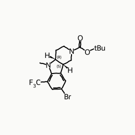 CN1c2c(cc(Br)cc2C(F)(F)F)[C@H]2CN(C(=O)OC(C)(C)C)CC[C@H]21